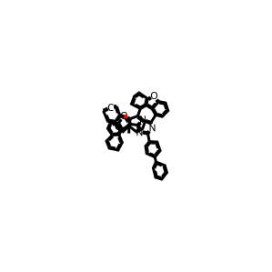 CC12C=CC=C(c3cccc4oc5cccc(-c6nc(-c7ccc(-c8ccccc8)cc7)nc(-c7ccc8ccccc8c7)n6)c5c34)C1Oc1ccc3ccccc3c12